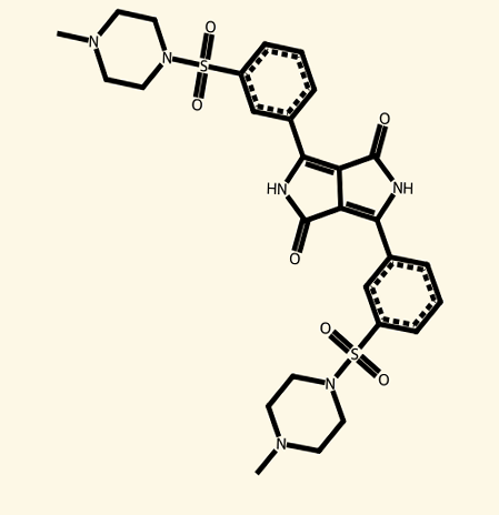 CN1CCN(S(=O)(=O)c2cccc(C3=C4C(=O)NC(c5cccc(S(=O)(=O)N6CCN(C)CC6)c5)=C4C(=O)N3)c2)CC1